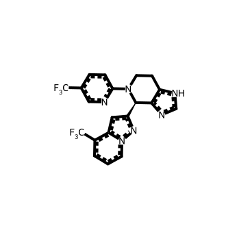 FC(F)(F)c1ccc(N2CCc3[nH]cnc3[C@H]2c2cc3c(C(F)(F)F)cccn3n2)nc1